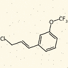 FC(F)(F)Oc1cccc(C=CCCl)c1